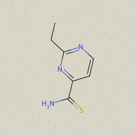 CCc1nccc(C(N)=S)n1